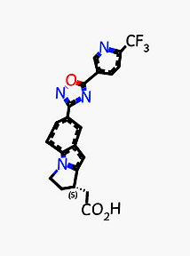 O=C(O)C[C@@H]1CCn2c1cc1cc(-c3noc(-c4ccc(C(F)(F)F)nc4)n3)ccc12